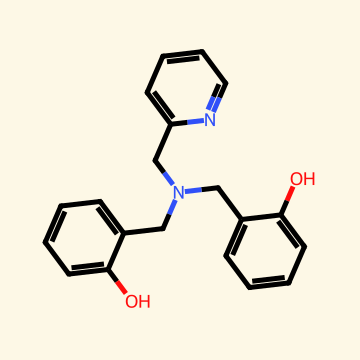 Oc1ccccc1CN(Cc1ccccn1)Cc1ccccc1O